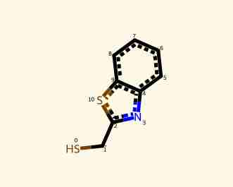 S[CH]c1nc2ccccc2s1